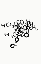 CC(C(CCc1ccccc1)c1ccc(Oc2ccccc2)cc1)N(CC(=O)O)C(=O)C1OC(C(=O)O)(C(=O)O)OC1COC(=O)N(C)C